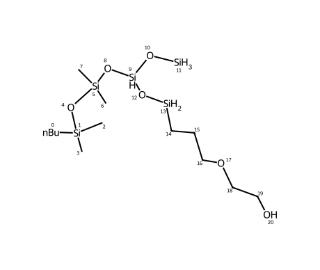 CCCC[Si](C)(C)O[Si](C)(C)O[SiH](O[SiH3])O[SiH2]CCCOCCO